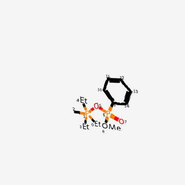 CCP(C)(CC)(CC)OP(=O)(OC)c1ccccc1